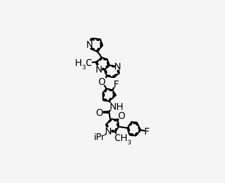 Cc1nc2c(Oc3ccc(NC(=O)c4cn(C(C)C)c(C)c(-c5ccc(F)cc5)c4=O)cc3F)ccnc2cc1-c1cccnc1